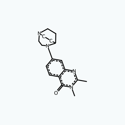 Cc1nc2cc(N3CCN4CCC3CC4)ccc2c(=O)n1C